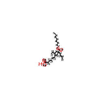 CCCCCCCCOC(=O)C(CCCC)(CCCC)CCCCCCCC(=O)O